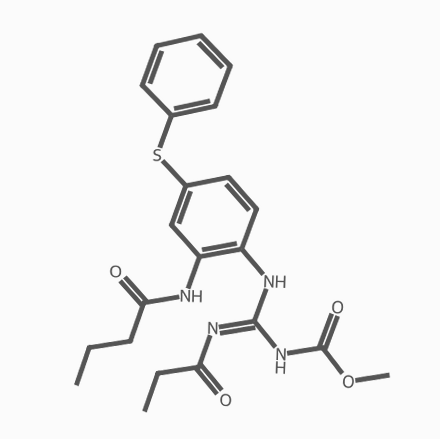 CCCC(=O)Nc1cc(Sc2ccccc2)ccc1NC(=NC(=O)CC)NC(=O)OC